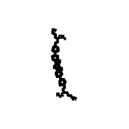 CC(C)CCCC(C)CCc1ccc(-c2ccc3c(c2)sc2c3sc3c4ccc(-c5ccc(CCC(C)CCCC(C)C)cc5)cc4sc32)cc1